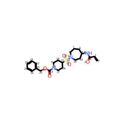 C=CC(=O)NC1CCCN(S(=O)(=O)C2CCN(C(=O)OCc3ccccc3)CC2)CC1